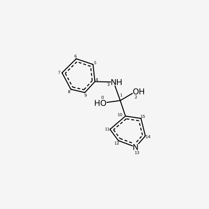 OC(O)(Nc1ccccc1)c1ccncc1